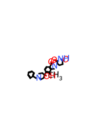 Cc1c(C2(O)CCN(Cc3ccccc3)CC2)ccc2c1CN(C1CCC(=O)NC1=O)C2=O